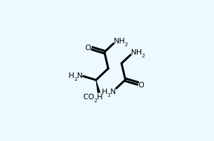 NC(=O)C[C@H](N)C(=O)O.NCC(N)=O